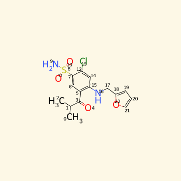 CC(C)C(=O)c1cc(S(N)(=O)=O)c(Cl)cc1NCc1ccco1